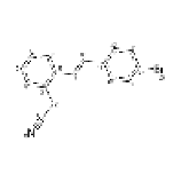 N#CCc1ccccc1/C=C/c1ccc(Br)cc1